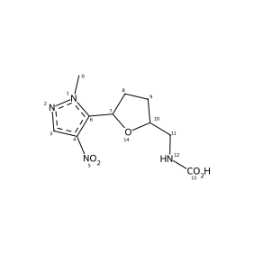 Cn1ncc([N+](=O)[O-])c1C1CCC(CNC(=O)O)O1